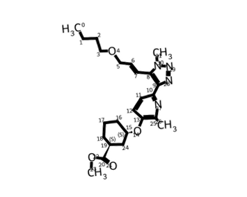 CCCCOCC=Cc1c(-c2ccc(O[C@H]3CCC[C@H](C(=O)OC)C3)c(C)n2)nnn1C